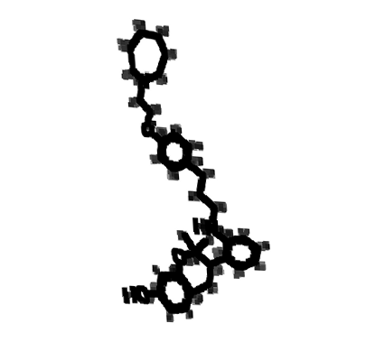 CC1(C)Oc2cc(O)ccc2CC1c1ccccc1NCCCc1ccc(OCCN2CCCCCC2)cc1